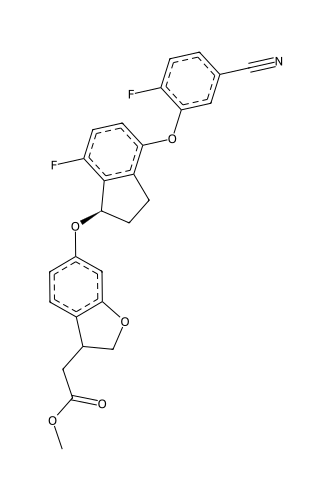 COC(=O)CC1COc2cc(O[C@@H]3CCc4c(Oc5cc(C#N)ccc5F)ccc(F)c43)ccc21